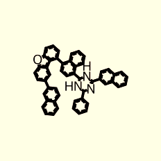 c1ccc(C2N=C(c3ccc4ccccc4c3)NC(c3ccc(-c4cccc5oc6ccc(-c7ccc8ccccc8c7)cc6c45)c4ccccc34)N2)cc1